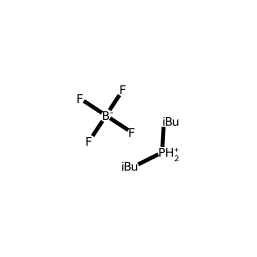 CCC(C)[PH2+]C(C)CC.F[B-](F)(F)F